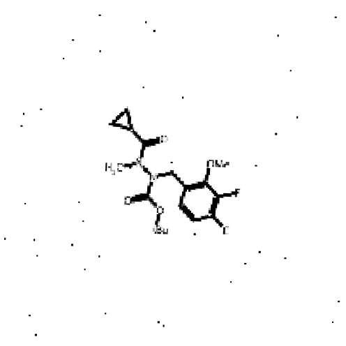 COc1c(CN(C(=O)OC(C)(C)C)N(C)C(=O)C2CC2)ccc(Cl)c1F